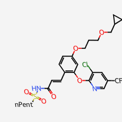 CCCCCS(=O)(=O)NC(=O)C=Cc1ccc(OCCCOCC2CC2)cc1Oc1ncc(C(F)(F)F)cc1Cl